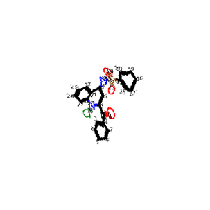 O=C(c1ccccc1)c1cc(=NS(=O)(=O)c2ccccc2)c2ccccc2n1Cl